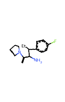 C=C(C(N)C(CC)c1ccc(F)cc1)N1CCCC1